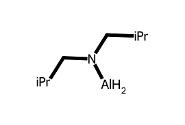 CC(C)C[N]([AlH2])CC(C)C